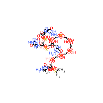 CO[C@H]1C(OP(O)(=S)OC(C)C)[C@@H](COP(=O)(O)OCCCOP(=O)(O)OCCCOP(=O)(O)OCCCOP(=O)(O)OCCCOP(=O)(O)OCCCOP(=O)(O)OC2C[C@H](n3cnc4c(=O)[nH]c(N)nc43)O[C@@H]2COP(O)(=S)OC2C[C@H](n3cnc4c(=O)[nH]c(N)nc43)O[C@@H]2COP(O)(=S)OC2C[C@H](n3cnc4c(=O)[nH]c(N)nc43)O[C@@H]2CO)O[C@H]1n1ccc(N)nc1=O